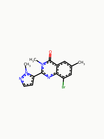 Cc1cc(Br)c2nc(-c3ccnn3C)n(C)c(=O)c2c1